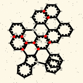 CC1Cc2c(c3ccccc3n2-c2ccccc2)C=C1c1ccccc1N(c1ccc(-c2ccccc2)cc1-c1ccccc1)c1ccccc1-c1cccc2cccc(-c3ccccc3)c12